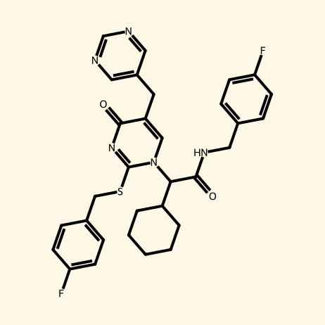 O=C(NCc1ccc(F)cc1)C(C1CCCCC1)n1cc(Cc2cncnc2)c(=O)nc1SCc1ccc(F)cc1